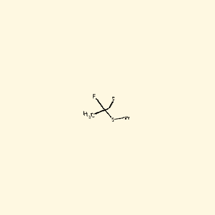 CCCSC(C)(F)F